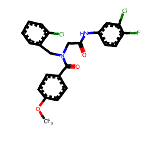 O=C(CN(Cc1ccccc1Cl)C(=O)c1ccc(OC(F)(F)F)cc1)Nc1ccc(F)c(Cl)c1